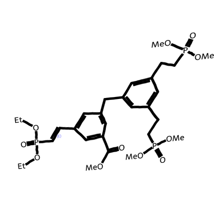 CCOP(=O)(/C=C/c1cc(Cc2cc(CCP(=O)(OC)OC)cc(CCP(=O)(OC)OC)c2)cc(C(=O)OC)c1)OCC